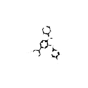 CCN(c1ccc(C(COC)CC(=O)O)cc1Nc1ncc(Cl)cn1)C1CCOCC1